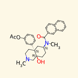 CC(=O)Oc1cccc([C@@]23CCN(C)C[C@@]2(O)CC[C@H](N(C)C(=O)c2ccc4ccccc4c2)C3)c1